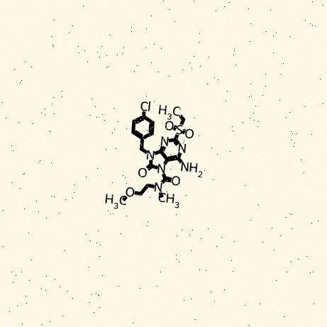 CCS(=O)(=O)c1nc(N)c2c(n1)n(Cc1ccc(Cl)cc1)c(=O)n2C(=O)N(C)CCOC